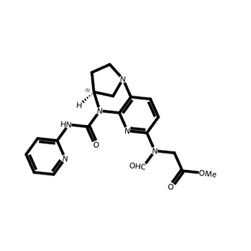 COC(=O)CN(C=O)c1ccc2c(n1)N(C(=O)Nc1ccccn1)[C@H]1CCN2C1